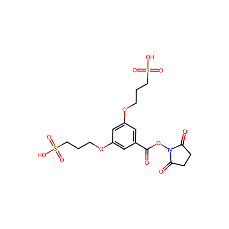 O=C(ON1C(=O)CCC1=O)c1cc(OCCCS(=O)(=O)O)cc(OCCCS(=O)(=O)O)c1